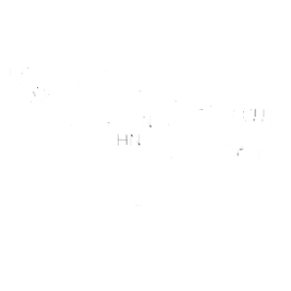 COc1ccc(CN(Nc2ccccc2)c2ccc(C(C)C)cc2)cc1